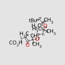 C=C(CC(=O)O)C(=O)C(C)(C)OCCC(C)(C)OC(C)(C)CC(C)(C)C